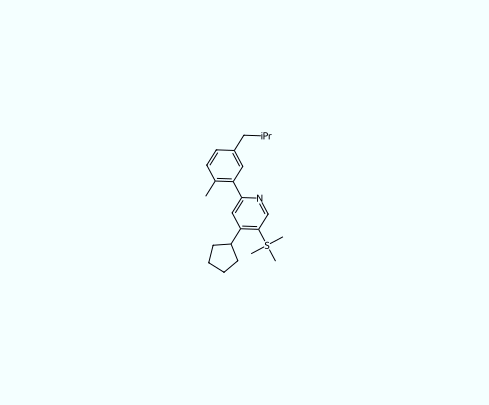 Cc1ccc(CC(C)C)cc1-c1cc(C2CCCC2)c(S(C)(C)C)cn1